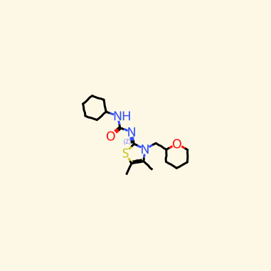 Cc1s/c(=N\C(=O)NC2CCCCC2)n(CC2CCCCO2)c1C